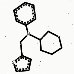 c1ccc(N(Cc2cccs2)C2CCCCC2)cc1